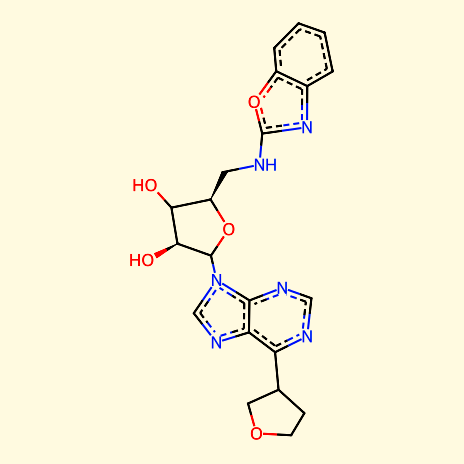 OC1[C@H](O)C(n2cnc3c(C4CCOC4)ncnc32)O[C@@H]1CNc1nc2ccccc2o1